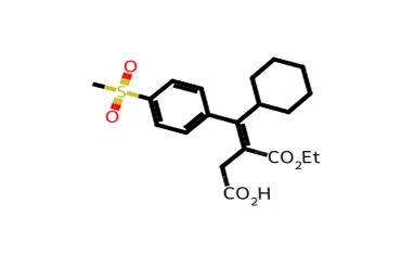 CCOC(=O)C(CC(=O)O)=C(c1ccc(S(C)(=O)=O)cc1)C1CCCCC1